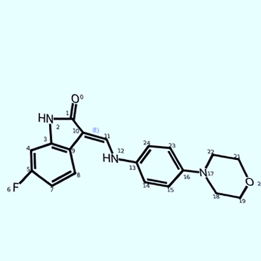 O=C1Nc2cc(F)ccc2/C1=C\Nc1ccc(N2CCOCC2)cc1